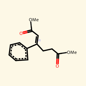 COC(=O)/C=C(/CCC(=O)OC)c1ccccc1